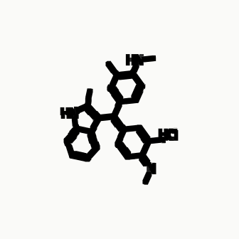 CN=C1C=CC(=C(c2ccc(NC)c(C)c2)c2c(C)[nH]c3ccccc23)C=C1C.Cl